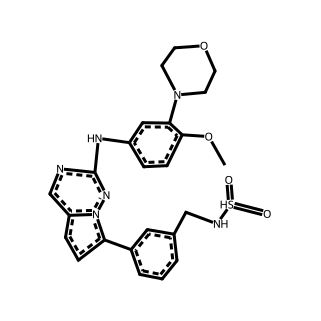 COc1ccc(Nc2ncc3ccc(-c4cccc(CN[SH](=O)=O)c4)n3n2)cc1N1CCOCC1